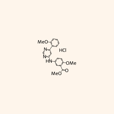 COC(=O)c1cc(Nc2cc(-c3ccccc3OC)ncn2)ccc1OC.Cl